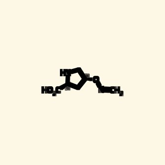 C=NO[C@H]1CN[C@H](C(=O)O)C1